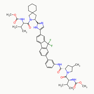 COC(=O)NC(C(=O)N1CC2(CCCCC2)C[C@H]1c1ncc(-c2ccc3c(c2)C(F)(F)c2cc(-c4cccc(NC(=O)[C@@H]5CC(C)CN5C(=O)[C@@H](NC(=O)OC)C(C)C)c4)ccc2-3)[nH]1)C(C)C